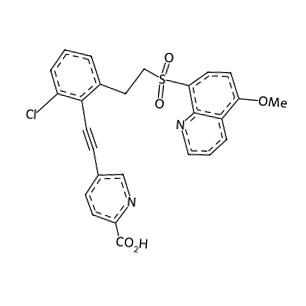 COc1ccc(S(=O)(=O)CCc2cccc(Cl)c2C#Cc2ccc(C(=O)O)nc2)c2ncccc12